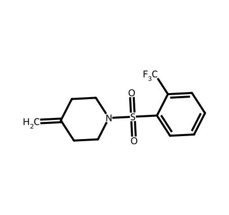 C=C1CCN(S(=O)(=O)c2ccccc2C(F)(F)F)CC1